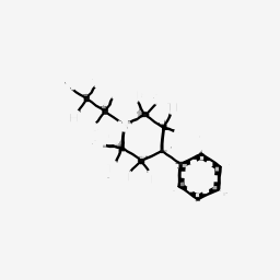 [2H]C([2H])(N)C([2H])([2H])N1C([2H])([2H])C([2H])([2H])C(c2ccccc2)C([2H])([2H])C1([2H])[2H]